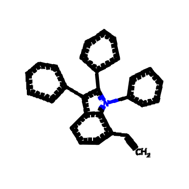 C=Cc1cccc2c(-c3ccccc3)c(-c3ccccc3)n(-c3ccccc3)c12